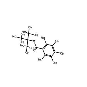 O=C(OC(C(O)(O)O)(C(O)(O)O)C(O)(O)O)c1c(O)c(O)c(O)c(O)c1O